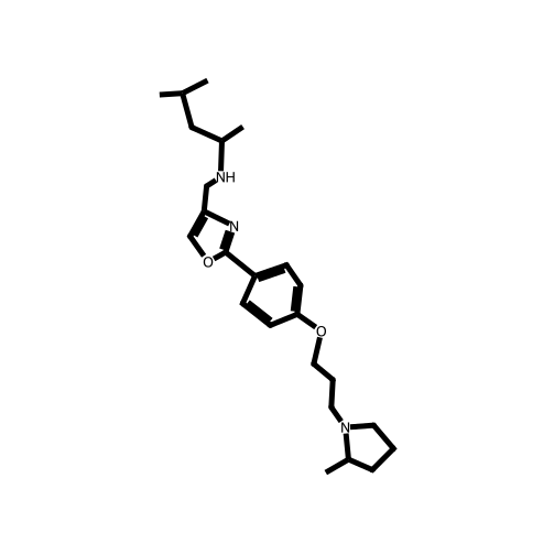 CC(C)CC(C)NCc1coc(-c2ccc(OCCCN3CCCC3C)cc2)n1